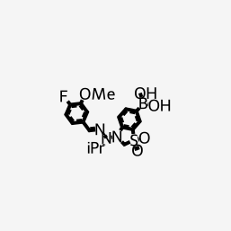 COc1cc(/C=N/N(C(C)C)N2CS(=O)(=O)c3cc(B(O)O)ccc32)ccc1F